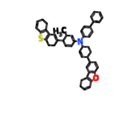 CC1C=C(N(c2ccc(-c3ccccc3)cc2)C2C=CC(c3ccc4oc5c(c4c3)CCC=C5)CC2)C=CC1C1=Cc2c(sc3c2CCC=C3)CC1